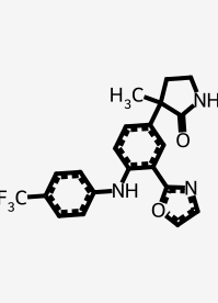 CC1(c2ccc(Nc3ccc(C(F)(F)F)cc3)c(-c3ncco3)c2)CCNC1=O